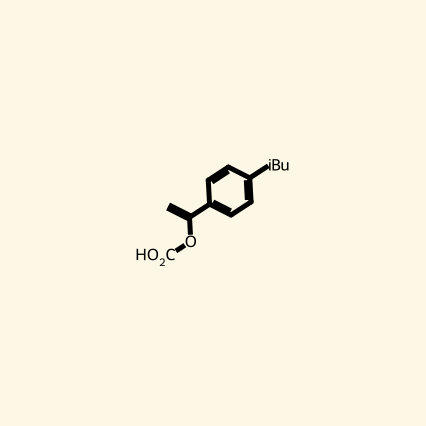 C=C(OC(=O)O)c1ccc(C(C)CC)cc1